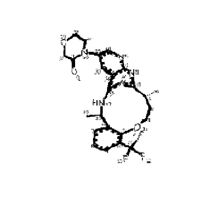 C[C@@H]1CCOc2c(cccc2C(F)(F)F)[C@@H](C)Nc2nc1nc1ncc(N3CCOCC3=O)cc21